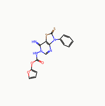 N=c1c2sc(=S)n(-c3ccccc3)c2ncn1NC(=O)Oc1ccco1